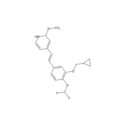 COC1C=C(/C=C/c2ccc(OC(F)F)c(OCC3CC3)c2)C=CN1